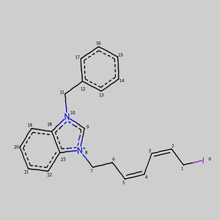 IC/C=C\C=C/CC[n+]1cn(Cc2ccccc2)c2ccccc21